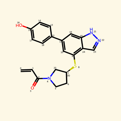 C=CC(=O)N1CC[C@H](Sc2cc(-c3ccc(O)cc3)cc3[nH]ncc23)C1